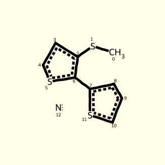 CSc1ccsc1-c1cccs1.[N]